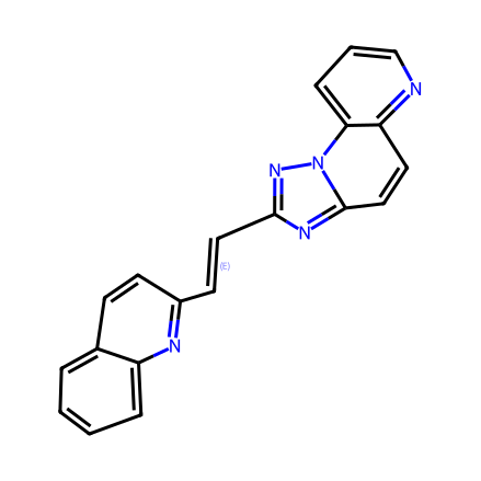 C(=C\c1nc2ccc3ncccc3n2n1)/c1ccc2ccccc2n1